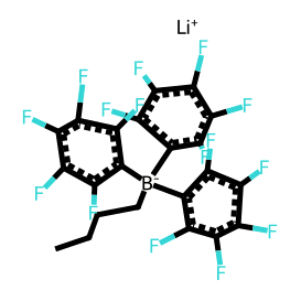 CCCC[B-](c1c(F)c(F)c(F)c(F)c1F)(c1c(F)c(F)c(F)c(F)c1F)c1c(F)c(F)c(F)c(F)c1F.[Li+]